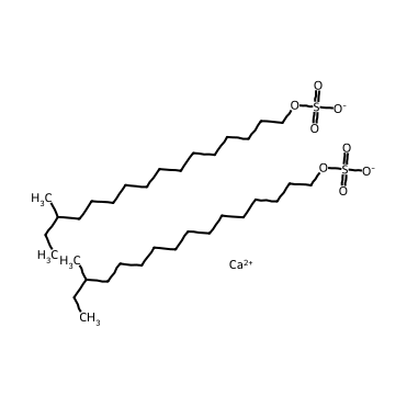 CCC(C)CCCCCCCCCCCCCOS(=O)(=O)[O-].CCC(C)CCCCCCCCCCCCCOS(=O)(=O)[O-].[Ca+2]